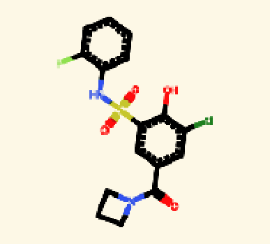 O=C(c1cc(Cl)c(O)c(S(=O)(=O)Nc2ccccc2F)c1)N1CCC1